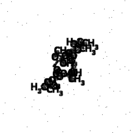 CC1OC2COP(=O)(OCOC(=O)C(C)(C)C)OC3C(C)OC(COP(=O)(OCOC(=O)C(C)(C)C)OC1C2O)C3O